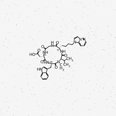 CC(C)C1C(=O)N[C@@H](CCCCn2cc[n+]3ncccc23)C(=O)NCC(=O)N[C@@H](CC(=O)O)C(=O)N[C@H](Cc2c[nH]c3ccccc23)C(=O)N1C